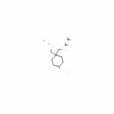 CC1CCC(CN=[N+]=[N-])(CN=[N+]=[N-])CC1